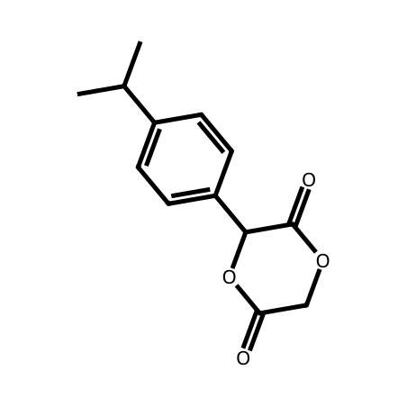 CC(C)c1ccc(C2OC(=O)COC2=O)cc1